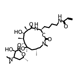 C=CC(=O)NCCCC[C@H]1CC(=O)N(C)C[C@H](C)C[C@@](C)(O)[C@H](O[C@@H]2O[C@H](C)C[C@H](N(C)C)[C@H]2O)[C@@H](C)[C@H](O)[C@@H](C)C(=O)N1